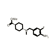 COC(=O)[C@H]1CC[C@H](N(C)Cc2ccc(N)c(F)c2)CC1